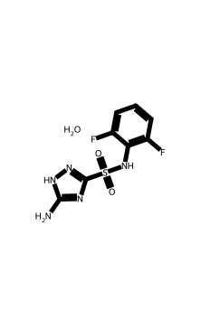 Nc1nc(S(=O)(=O)Nc2c(F)cccc2F)n[nH]1.O